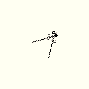 CCCCCCCCCCCCOC(=O)CCN(CCC(=O)OCCCCCCCCCCCC)Nc1ccccn1